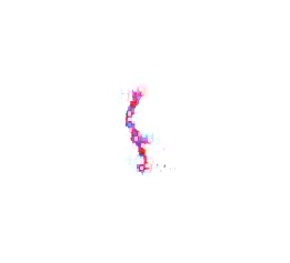 COc1cnccc1C(=O)NCc1ccc(-c2nn3c(c2C(N)=O)Nc2ccc(N4CCN(CC5CCN(c6ccc(N7CCC(=O)NC7=O)cc6)CC5)CC4)cc2CC3)cc1C